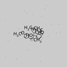 COc1ccc(/C=C(/C)C(O)(c2cccc(OC)c2)C(C)CN(C)C)cc1